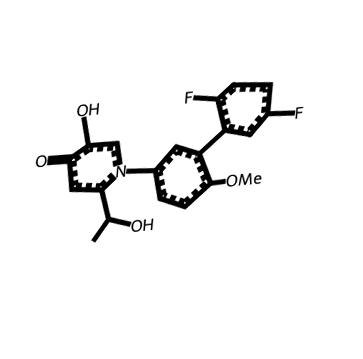 COc1ccc(-n2cc(O)c(=O)cc2C(C)O)cc1-c1cc(F)ccc1F